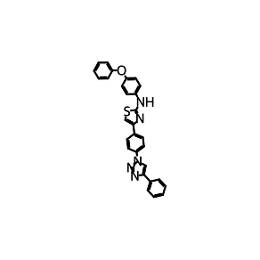 c1ccc(Oc2ccc(Nc3nc(-c4ccc(-n5cc(-c6ccccc6)nn5)cc4)cs3)cc2)cc1